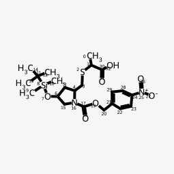 CC(SCC1CC(O[Si](C)(C)C(C)(C)C)CN1C(=O)OCc1ccc([N+](=O)[O-])cc1)C(=O)O